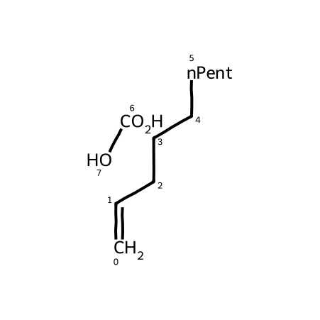 C=CCCCCCCCC.O=C(O)O